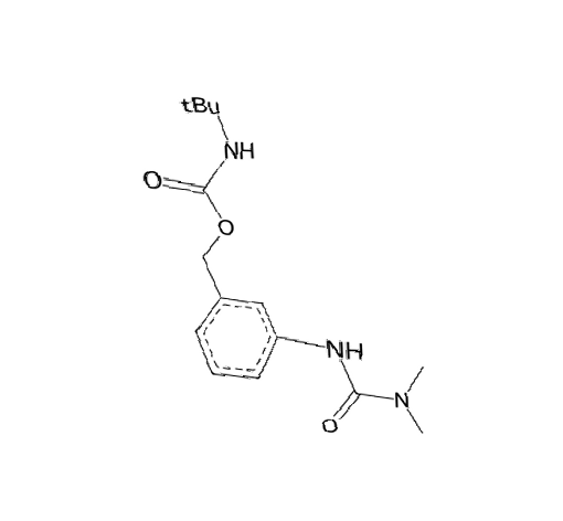 CN(C)C(=O)Nc1cccc(COC(=O)NC(C)(C)C)c1